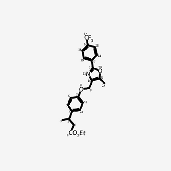 CCOC(=O)CC(C)c1ccc(OCc2nc(-c3ccc(C(F)(F)F)cc3)oc2C)cc1